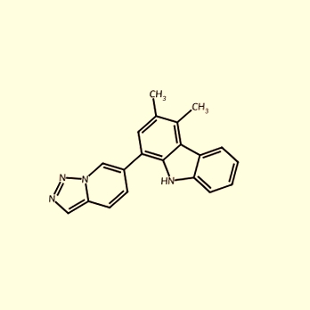 Cc1cc(-c2ccc3cnnn3c2)c2[nH]c3ccccc3c2c1C